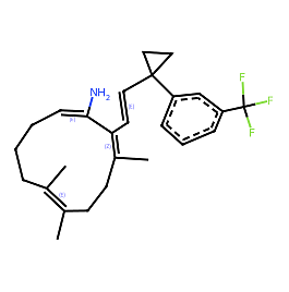 C/C1=C(\C=C\C2(c3cccc(C(F)(F)F)c3)CC2)C(/N)=C\CCC/C(C)=C(\C)CC1